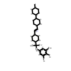 CC1CCC(C2CCC(/C=C/C3CCC(C(F)(F)Oc4cc(F)c(F)c(F)c4)CC3)CC2)CC1